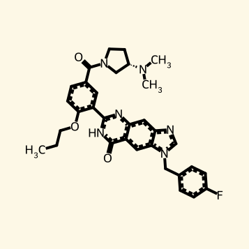 CCCOc1ccc(C(=O)N2CC[C@H](N(C)C)C2)cc1-c1nc2cc3ncn(Cc4ccc(F)cc4)c3cc2c(=O)[nH]1